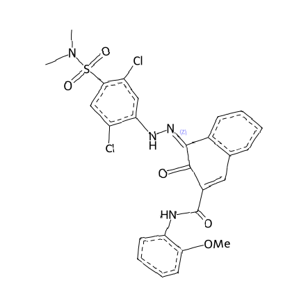 COc1ccccc1NC(=O)C1=Cc2ccccc2/C(=N/Nc2cc(Cl)c(S(=O)(=O)N(C)C)cc2Cl)C1=O